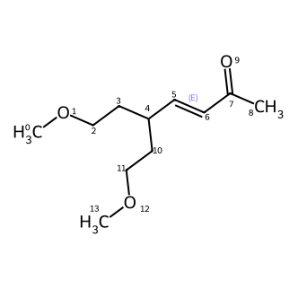 COCCC(/C=C/C(C)=O)CCOC